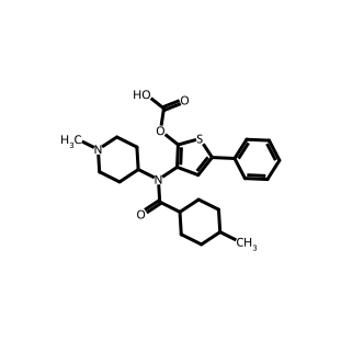 CC1CCC(C(=O)N(c2cc(-c3ccccc3)sc2OC(=O)O)C2CCN(C)CC2)CC1